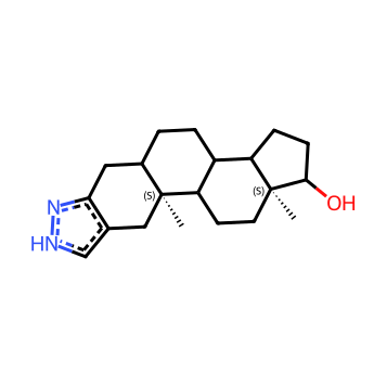 C[C@]12Cc3c[nH]nc3CC1CCC1C2CC[C@]2(C)C(O)CCC12